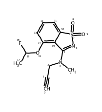 C#CCN(C)C1=NS(=O)(=O)c2cccc(OC(C)F)c21